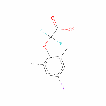 Cc1cc(I)cc(C)c1OC(F)(F)C(=O)O